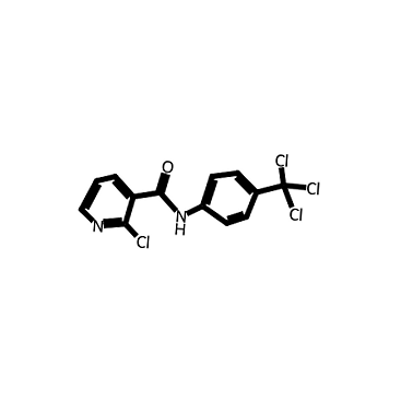 O=C(Nc1ccc(C(Cl)(Cl)Cl)cc1)c1cccnc1Cl